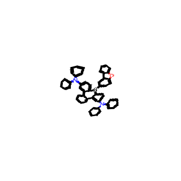 c1ccc(N(c2ccccc2)c2ccc3c(c2)-c2ccccc2-c2cc(N(c4ccccc4)c4ccccc4)ccc2B3c2ccc3oc4ccccc4c3c2)cc1